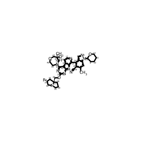 Cc1cc2c(cnn2C2CCCCO2)c(-c2nccc3c2sc2nc(OC[C@@]45CCCN4C[C@H](F)C5)nc(N4CCOC[C@@](C)(O)C4)c23)c1C#N